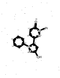 CC(C)n1nc(-c2cc(O)nn2-c2ccccc2)ccc1=O